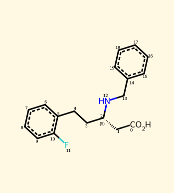 O=C(O)C[C@H](CCc1ccccc1F)NCc1ccccc1